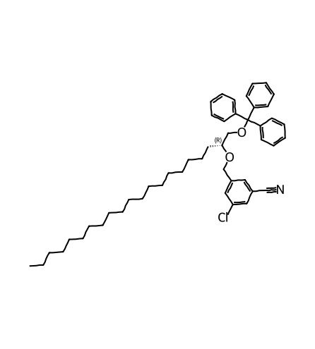 CCCCCCCCCCCCCCCCCCC[C@H](COC(c1ccccc1)(c1ccccc1)c1ccccc1)OCc1cc(Cl)cc(C#N)c1